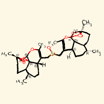 C[C@@H]1CC[C@H]2C(C[S+]([O-])CC3=C(C(F)(F)F)O[C@@H]4O[C@]5(C)CCC6[C@H](C)CC[C@@H]3[C@]64OO5)=C(C(F)(F)F)O[C@@H]3O[C@]4(C)CCC1[C@]32OO4